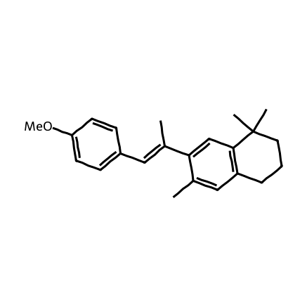 COc1ccc(C=C(C)c2cc3c(cc2C)CCCC3(C)C)cc1